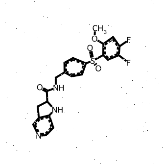 COc1cc(F)c(F)cc1S(=O)(=O)c1ccc(CNC(=O)C2Cc3cnccc3N2)cc1